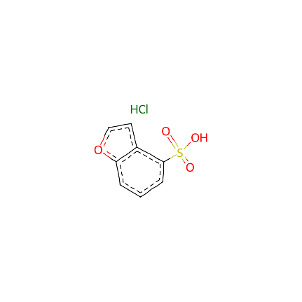 Cl.O=S(=O)(O)c1cccc2occc12